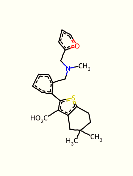 CN(Cc1ccco1)Cc1ccccc1-c1sc2c(c1C(=O)O)CC(C)(C)CC2